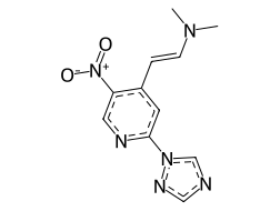 CN(C)C=Cc1cc(-n2cncn2)ncc1[N+](=O)[O-]